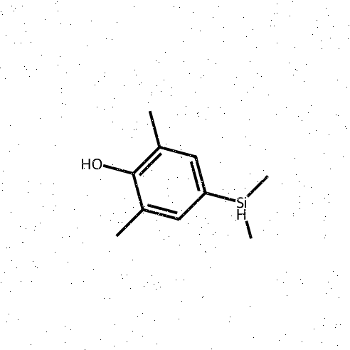 Cc1cc([SiH](C)C)cc(C)c1O